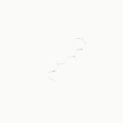 Cc1csc(C(=O)CCC(=O)c2ccccc2)c1